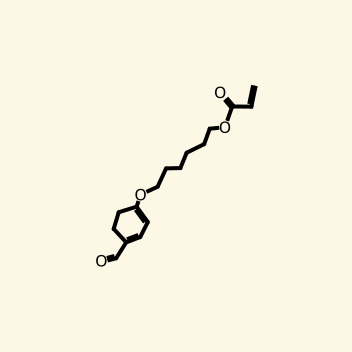 C=CC(=O)OCCCCCCOC1=CC=C(C=O)CC1